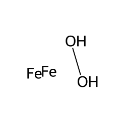 OO.[Fe].[Fe]